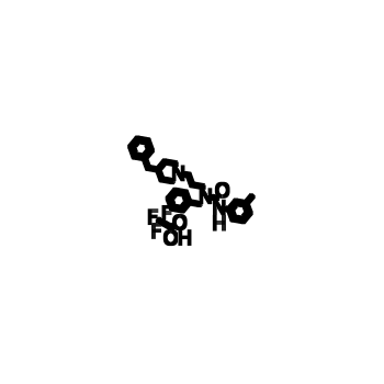 Cc1cccc(NC(=O)N(CCCN2CCC(Cc3ccccc3)CC2)Cc2ccccc2)c1.O=C(O)C(F)(F)F